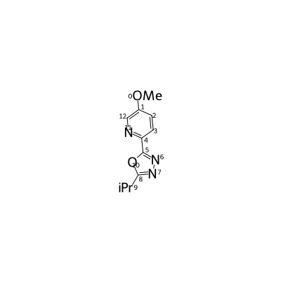 COc1ccc(-c2nnc(C(C)C)o2)nc1